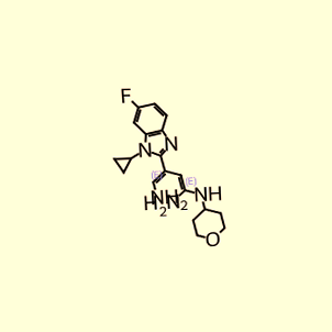 N/C=C(\C=C(/N)NC1CCOCC1)c1nc2ccc(F)cc2n1C1CC1